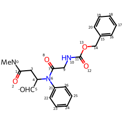 CNC(=O)CC([C]=O)N(C(=O)CNC(=O)OCc1ccccc1)c1ccccc1